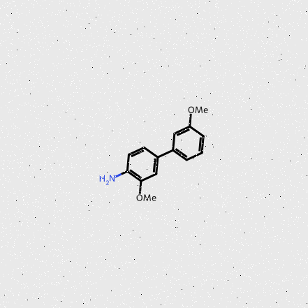 COc1[c]ccc(-c2ccc(N)c(OC)c2)c1